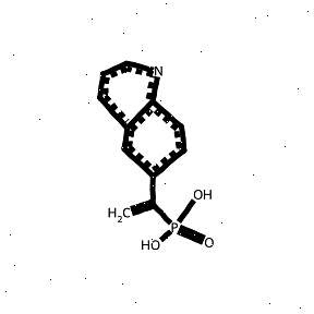 C=C(c1ccc2ncccc2c1)P(=O)(O)O